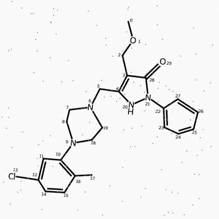 COCc1c(CN2CCN(c3cc(Cl)ccc3C)CC2)[nH]n(-c2ccccc2)c1=O